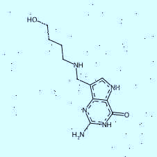 Nc1nc2c(CNCCCCO)c[nH]c2c(=O)[nH]1